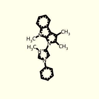 Cc1c(C)n(-c2cn(-c3ccccc3)c[n+]2C)c2c1c1ccccc1n2C